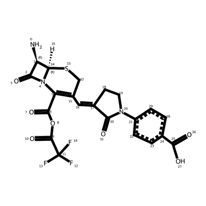 N[C@@H]1C(=O)N2C(C(=O)OC(=O)C(F)(F)F)=C(C=C3CCN(c4ccc(C(=O)O)cc4)C3=O)CS[C@H]12